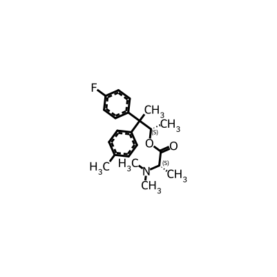 Cc1ccc(C(C)(c2ccc(F)cc2)[C@H](C)OC(=O)[C@H](C)N(C)C)cc1